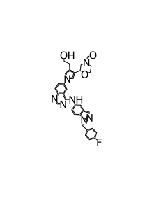 O=CN1CCOC(c2cn(-c3ccc4ncnc(Nc5ccc6c(cnn6Cc6ccc(F)cc6)c5)c4c3)cc2CCO)C1